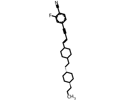 CCC[C@H]1CC[C@H](CCC2CCC(/C=C/C#Cc3ccc(C#N)c(F)c3)CC2)CC1